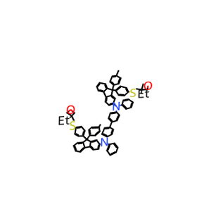 CCC1(CSc2ccc(C3(c4ccc(C)cc4)c4ccccc4-c4ccc(N(c5ccccc5)c5ccc(-c6ccc(N(c7ccccc7)c7ccc8c(c7)C(c7ccc(C)cc7)(c7ccc(SCC9(CC)COC9)cc7)c7ccccc7-8)cc6)cc5)cc43)cc2)COC1